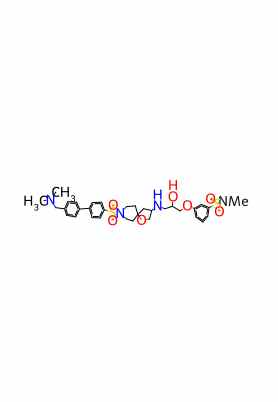 CNS(=O)(=O)c1cccc(OCC(O)CN[C@H]2COC3(CCN(S(=O)(=O)c4ccc(-c5ccc(CN(C)C)cc5)cc4)CC3)C2)c1